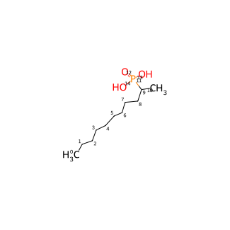 CCCCCCCCCC(C)P(=O)(O)O